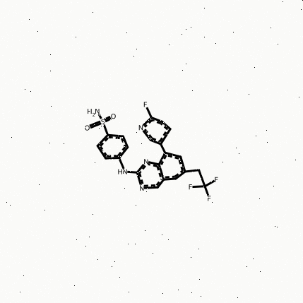 NS(=O)(=O)c1ccc(Nc2ncc3cc(CC(F)(F)F)cc(-c4ccc(F)nc4)c3n2)cc1